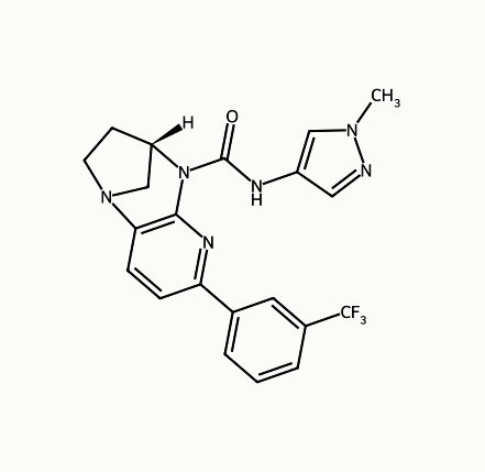 Cn1cc(NC(=O)N2c3nc(-c4cccc(C(F)(F)F)c4)ccc3N3CC[C@H]2C3)cn1